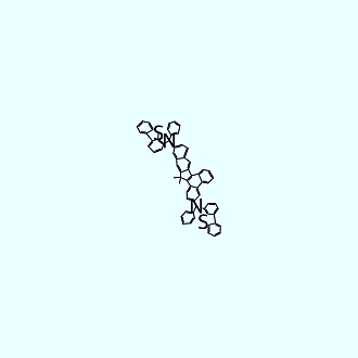 CC1(C)c2cc3cc(N(c4ccccc4)c4cccc5c4sc4ccccc45)ccc3cc2-c2c1c1ccc(N(c3ccccc3)c3cccc4c3sc3ccccc34)cc1c1ccccc21